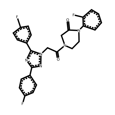 O=C(Cn1nc(-c2ccc(F)cc2)nc1-c1ccc(F)cc1)N1CCN(c2ccccc2F)C(=O)C1